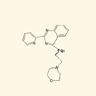 c1ccc(-c2nc(NCCN3CCOCC3)c3ccccc3n2)nc1